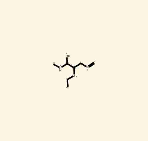 C=NCC(SCC)C(O)NC